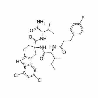 CCC(C)[C@H](NC(=O)CCc1ccc(F)cc1)C(=O)N[C@]1(C(=O)N[C@H](C(N)=O)C(C)C)CCc2[nH]c3c(Cl)cc(Cl)cc3c2C1